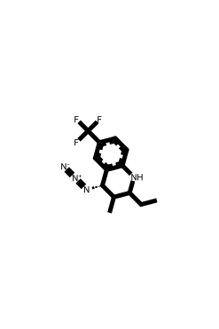 CCC1Nc2ccc(C(F)(F)F)cc2[C@@H](N=[N+]=[N-])C1C